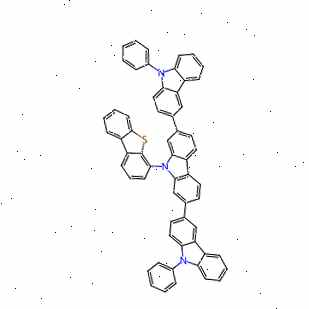 c1ccc(-n2c3ccccc3c3cc(-c4ccc5c6ccc(-c7ccc8c(c7)c7ccccc7n8-c7ccccc7)cc6n(-c6cccc7c6sc6ccccc67)c5c4)ccc32)cc1